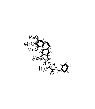 COCP(=O)(NC(C)C(=O)OCc1ccccc1)Oc1cc(/C=C\c2cc(OC)c(OC)c(OC)c2)ccc1OC